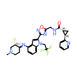 CN1CC/C(=N\c2cccc3c2cc(-c2noc(CNC(=O)[C@@H]4C[C@H]4c4ccccn4)n2)n3CC(F)(F)F)[C@@H](F)C1